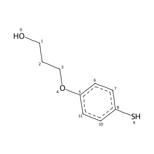 OCCCOc1ccc(S)cc1